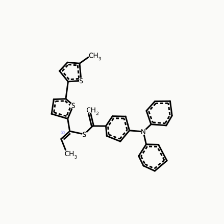 C=C(S/C(=C\C)c1ccc(-c2ccc(C)s2)s1)c1ccc(N(c2ccccc2)c2ccccc2)cc1